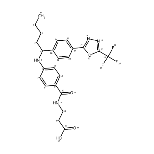 CCCCC(Nc1ccc(C(=O)NCCC(=O)O)cc1)c1ccc(-c2nnc(C(F)(F)F)o2)cc1